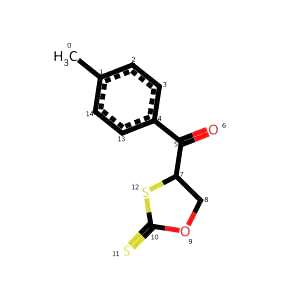 Cc1ccc(C(=O)C2COC(=S)S2)cc1